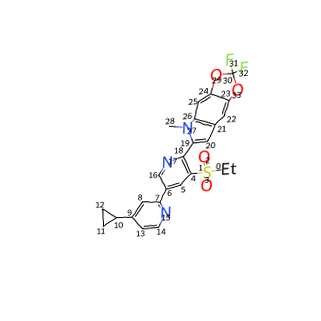 CCS(=O)(=O)c1cc(-c2cc(C3CC3)ccn2)cnc1-c1cc2cc3c(cc2n1C)OC(F)(F)O3